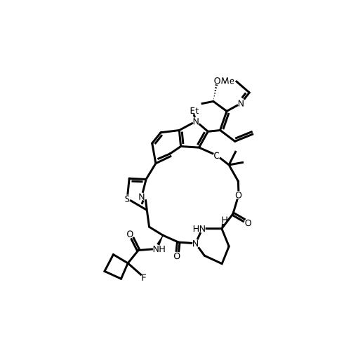 C=C/C(=C(\N=C/C)[C@H](C)OC)c1c2c3cc(ccc3n1CC)-c1csc(n1)C[C@H](NC(=O)C1(F)CCC1)C(=O)N1CCC[C@H](N1)C(=O)OCC(C)(C)C2